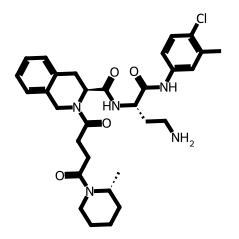 Cc1cc(NC(=O)[C@H](CCN)NC(=O)[C@@H]2Cc3ccccc3CN2C(=O)CCC(=O)N2CCCC[C@H]2C)ccc1Cl